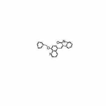 O=C1[N]c2ccccc2C1=Cc1ccc(OCc2ccccc2)c2ncccc12